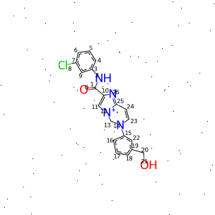 O=C(Nc1cccc(Cl)c1)C1=C[N+]2CN(c3cccc(CO)c3)C=CC2=N1